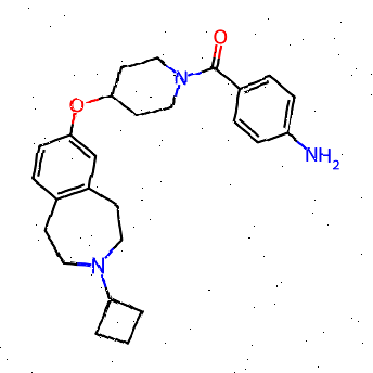 Nc1ccc(C(=O)N2CCC(Oc3ccc4c(c3)CCN(C3CCC3)CC4)CC2)cc1